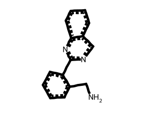 NCc1ccccc1-c1ncc2ccccc2n1